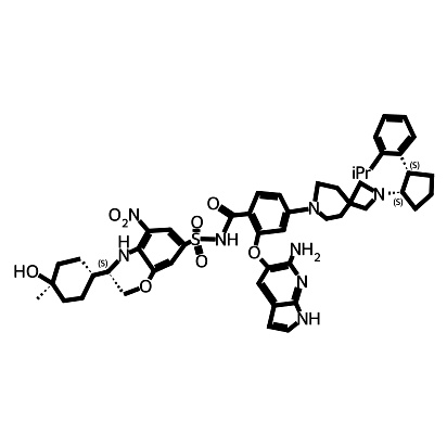 CC(C)c1ccccc1[C@@H]1CCC[C@@H]1N1CC2(CCN(c3ccc(C(=O)NS(=O)(=O)c4cc5c(c([N+](=O)[O-])c4)N[C@@H]([C@H]4CC[C@](C)(O)CC4)CO5)c(Oc4cc5cc[nH]c5nc4N)c3)CC2)C1